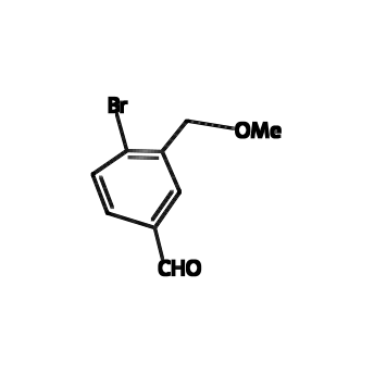 COCc1cc(C=O)ccc1Br